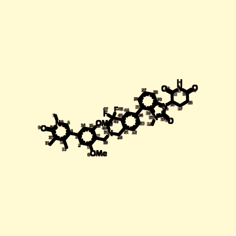 COc1cc(-c2cn(C)c(=O)c(C)c2C)cc(OC)c1CN1Cc2ccc(-c3cccc4c3n(C)c(=O)n4C3CCC(=O)NC3=O)cc2C(F)(F)C1